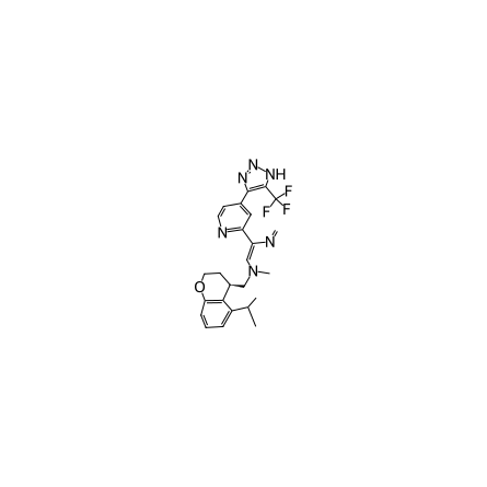 C=N/C(=C\N(C)C[C@@H]1CCOc2cccc(C(C)C)c21)c1cc(-c2nn[nH]c2C(F)(F)F)ccn1